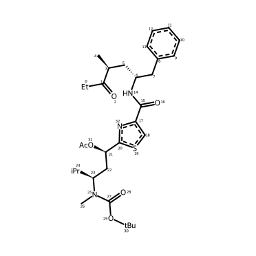 CCC(=O)[C@@H](C)C[C@H](Cc1ccccc1)NC(=O)c1csc([C@@H](C[C@H](C(C)C)N(C)C(=O)OC(C)(C)C)OC(C)=O)n1